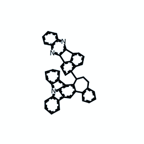 c1ccc2c(c1)CCC(c1ccc3c4c(cccc14)-c1nc4ccccc4nc1-3)c1c-2cc2c3ccccc3n3c4ccccc4c1c23